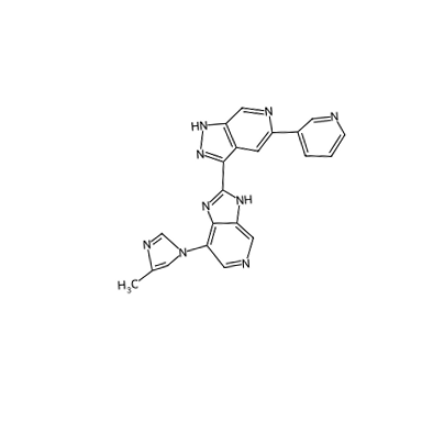 Cc1cn(-c2cncc3[nH]c(-c4n[nH]c5cnc(-c6cccnc6)cc45)nc23)cn1